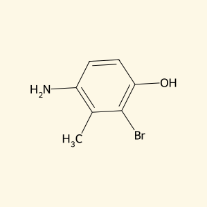 Cc1c(N)ccc(O)c1Br